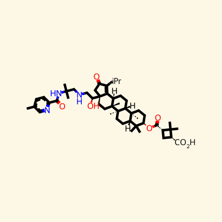 Cc1ccc(C(=O)NC(C)(C)CNC[C@H](O)[C@@]23CC[C@]4(C)[C@H](CC[C@@H]5[C@@]6(C)CC[C@H](OC(=O)[C@H]7C[C@@H](C(=O)O)C7(C)C)C(C)(C)[C@@H]6CC[C@]54C)C2=C(C(C)C)C(=O)C3)nc1